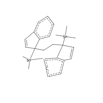 [CH3][Sn]([CH3])([CH3])[C]1(CC[C]2([Sn]([CH3])([CH3])[CH3])C=Cc3ccccc32)C=Cc2ccccc21